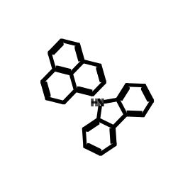 C1=Cc2cccc3cccc(c23)C1.c1ccc2c(c1)[nH]c1ccccc12